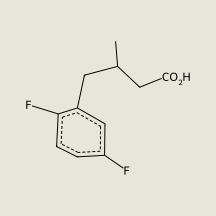 CC(CC(=O)O)Cc1cc(F)ccc1F